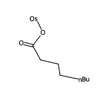 CCCCCCCC(=O)[O][Os]